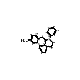 Cc1ccc(CC2C3=CC=CCC3CCN2c2ccccc2)cc1